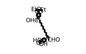 CCOP(=O)(OCC)c1ccc(N(C=O)CCCCCCCCCCCN(C=O)c2ccc(P(=O)(O)O)cc2)cc1